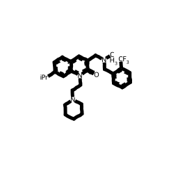 CC(C)c1ccc2cc(CN(C)Cc3ccccc3C(F)(F)F)c(=O)n(CCN3CCCCC3)c2c1